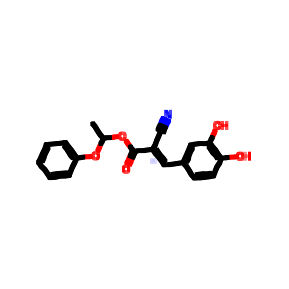 CC(OC(=O)/C(C#N)=C/c1ccc(O)c(O)c1)Oc1ccccc1